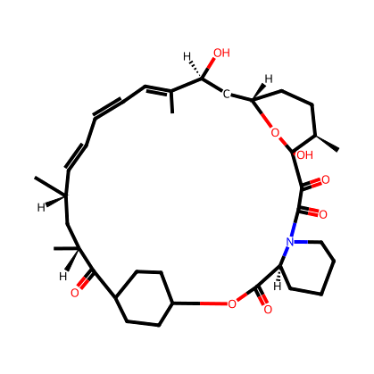 C\C1=C/C=C/C=C/[C@@H](C)C[C@@H](C)C(=O)C2CCC(CC2)OC(=O)[C@@H]2CCCCN2C(=O)C(=O)[C@]2(O)O[C@@H](CC[C@H]2C)C[C@@H]1O